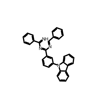 N=C(/N=C(\N=C\c1ccccc1)c1cccc(-n2c3ccccc3c3ccccc32)c1)c1ccccc1